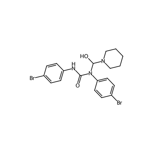 O=C(Nc1ccc(Br)cc1)N(c1ccc(Br)cc1)C(O)N1CCCCC1